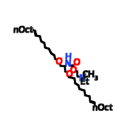 CCCCCCCCC=CCCCCCCCCOCC(COCCCCCCCCC=CCCCCCCCC)NC(=O)OCCN(C)CC